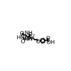 Nc1c(C(=O)NCCCOc2ccc(C(=O)O)cc2)[nH]c(=O)[nH]c1=O